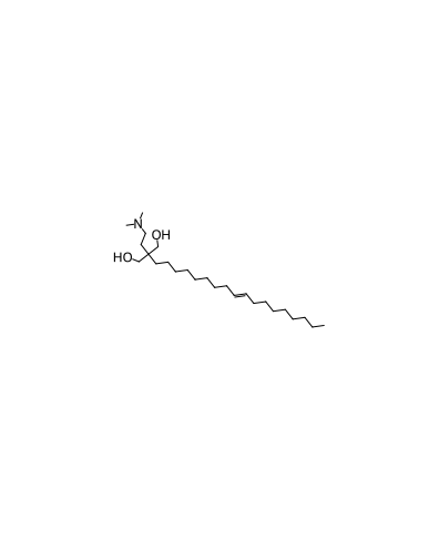 CCCCCCCCC=CCCCCCCCCC(CO)(CO)CCN(C)C